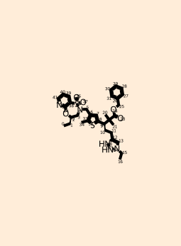 CC[C@@H]1CN(Cc2cc([C@H](CCC3=CN(CC)NN3)C(C)(C)C(=O)OCc3ccccc3)sc2C)S(=O)(=O)c2cccnc2O1